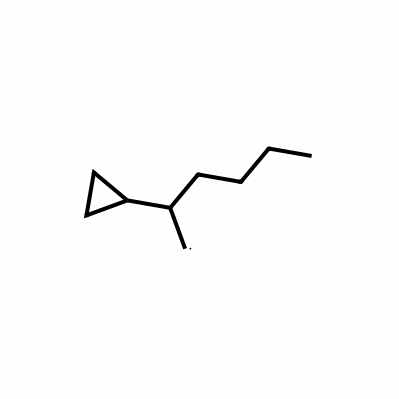 [CH2]C(CCCC)C1CC1